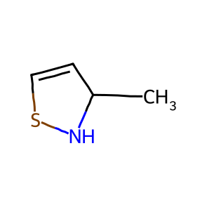 CC1C=CSN1